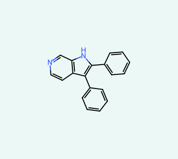 c1ccc(-c2[nH]c3cnccc3c2-c2ccccc2)cc1